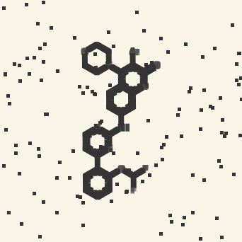 CC(=O)c1c(N2CCOCC2)c2ccc(Nc3nccc(-c4ccccc4OC(F)F)n3)cc2oc1=O